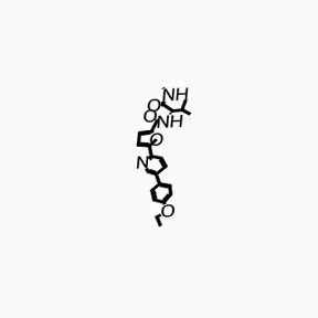 CCOc1ccc(-c2ccc(-c3ccc(C(=O)N[C@H](C(=O)NC)C(C)C)o3)nc2)cc1